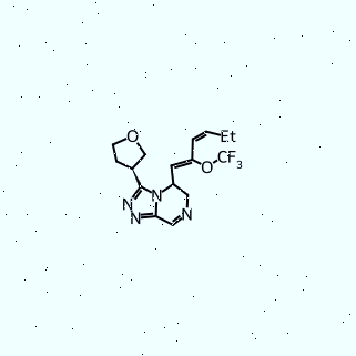 CC/C=C\C(=CC1CN=Cc2nnc([C@H]3CCOC3)n21)OC(F)(F)F